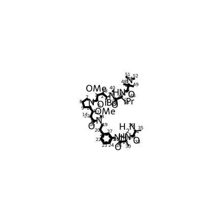 CC[C@H](C)[C@@H]([C@@H](CC(=O)N1CCCC1[C@H](OC)[C@@H](C)C(=O)N(C)CCc1cccc(NC(=O)[C@H](C)NC(=O)[C@H](C)N)c1)OC)N(C)C(=O)[C@@H](NC(=O)C(C)(C)N(C)C)C(C)C